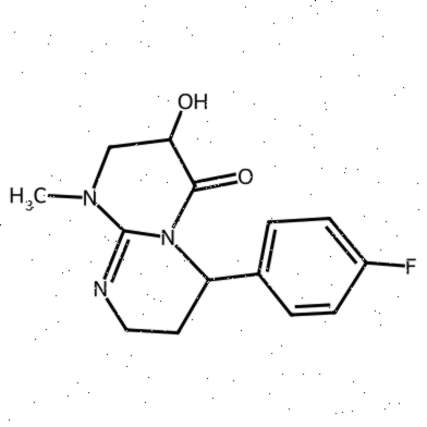 CN1CC(O)C(=O)N2C1=NCCC2c1ccc(F)cc1